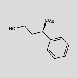 CN[C@H](CCO)c1ccccc1